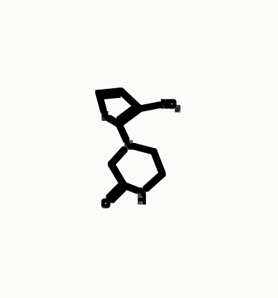 O=C1CN(c2sccc2[N+](=O)[O-])CCN1